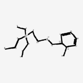 CCC[N+](CC)(CCC)CCSCC1C=CC=CC1C